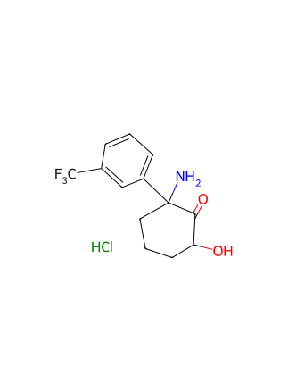 Cl.NC1(c2cccc(C(F)(F)F)c2)CCCC(O)C1=O